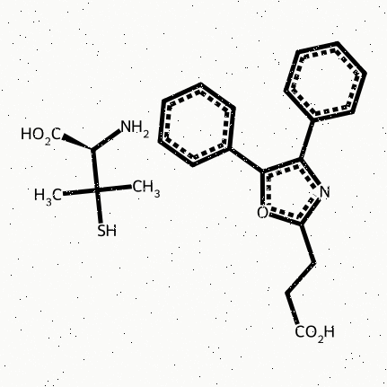 CC(C)(S)[C@H](N)C(=O)O.O=C(O)CCc1nc(-c2ccccc2)c(-c2ccccc2)o1